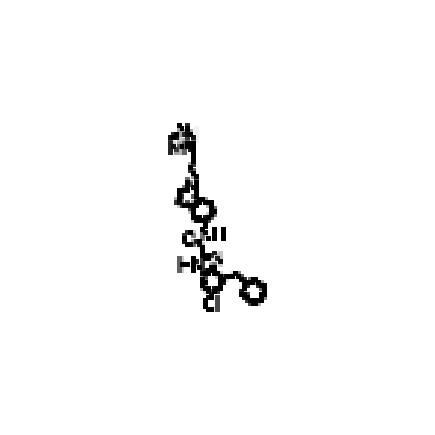 O=C(Nc1ccc2c(ccn2CCCn2ncnn2)c1)c1nc2c(Cc3ccccc3)cc(Cl)cc2[nH]1